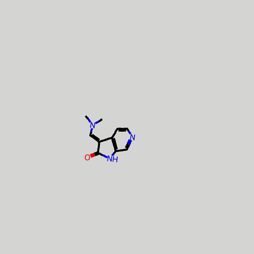 CN(C)/C=C1/C(=O)Nc2cnccc21